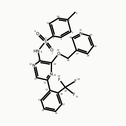 Cc1ccc(S(=O)(=O)Nc2ncc(-c3ccccc3C(F)(F)F)nc2OCc2cccnc2)cc1